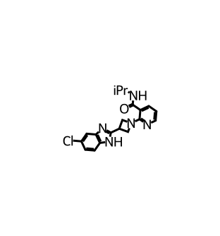 CC(C)NC(=O)c1cccnc1N1CC(c2nc3cc(Cl)ccc3[nH]2)C1